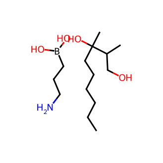 CCCCCCC(C)(O)C(C)CO.NCCCB(O)O